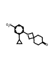 O=C1CCC2(CC1)CN(c1ccc([N+](=O)[O-])cc1C1CC1)C2